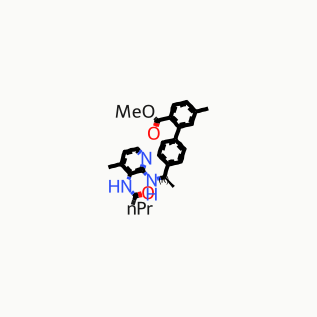 CCCC(=O)Nc1c(C)ccnc1N[C@H](C)c1ccc(-c2cc(C)ccc2C(=O)OC)cc1